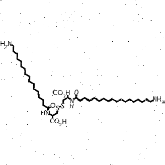 NCCCCCCCCCCCCCCCCCC(=O)NC(CSSCC(NC(=O)CCCCCCCCCCCCCCCCN)C(=O)O)C(=O)O